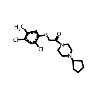 Cc1cc(SCC(=O)N2CCN(C3CCCC3)CC2)c(Cl)cc1Cl